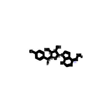 N/N=c1/nc[nH]c2c1ccn2[C@@H]1O[C@H]([C@H](F)c2ccc(Cl)cc2)[C@@H](O)[C@H]1O